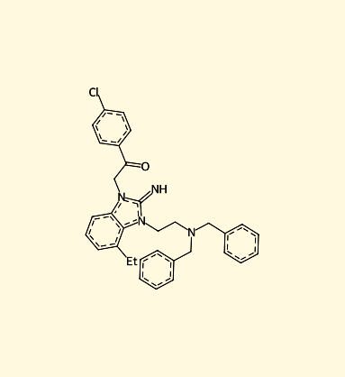 CCc1cccc2c1n(CCN(Cc1ccccc1)Cc1ccccc1)c(=N)n2CC(=O)c1ccc(Cl)cc1